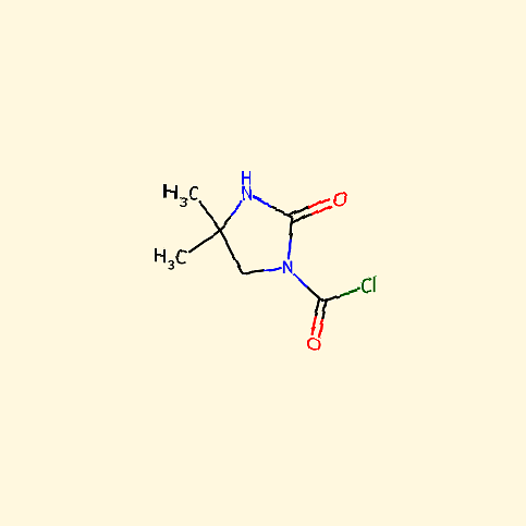 CC1(C)CN(C(=O)Cl)C(=O)N1